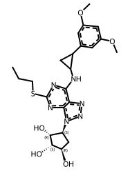 CCCSc1nc(NC2CC2c2cc(OC)cc(OC)c2)c2nnn([C@H]3C[C@@H](O)[C@H](O)[C@@H]3O)c2n1